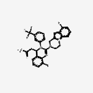 CC(=O)CC1c2cccc(F)c2N=C(N2CCn3c(cc4c(F)cccc43)C2)N1c1cccc(C(F)(F)F)c1